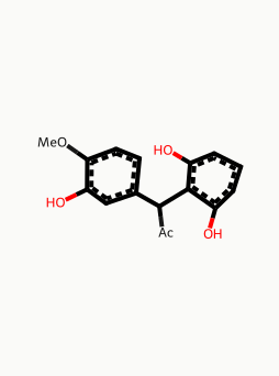 COc1ccc(C(C(C)=O)c2c(O)cccc2O)cc1O